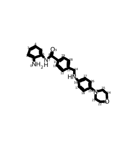 Nc1ccccc1NC(=O)c1ccc(CNc2ccc(N3CCOCC3)cc2)cc1